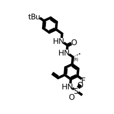 C=Cc1cc([C@@H](C)NC(=O)NCc2ccc(C(C)(C)C)cc2)cc(F)c1NS(C)(=O)=O